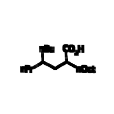 CCCCCCCCC(CC(CCC)CCCC)C(=O)O